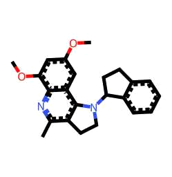 COc1cc(OC)c2nc(C)c3c(c2c1)N(C1CCc2ccccc21)CC3